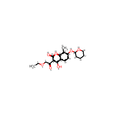 CCOCC(=O)c1c(O)c2ccc(OC3CCCCO3)c(C)c2oc1=O